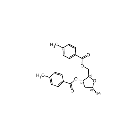 Cc1ccc(C(=O)OC[C@H]2O[C@@H](C(C)C)C[C@@H]2OC(=O)c2ccc(C)cc2)cc1